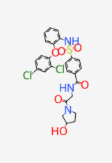 O=C(NCC(=O)N1CCC(O)C1)c1ccc(S(=O)(=O)Nc2ccccc2Oc2ccc(Cl)cc2Cl)cc1